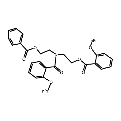 CCCOc1ccccc1C(=O)OCCN(CCOC(=O)c1ccccc1)C(=O)c1ccccc1OCCC